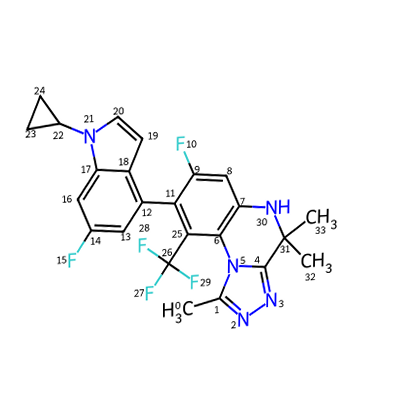 Cc1nnc2n1-c1c(cc(F)c(-c3cc(F)cc4c3ccn4C3CC3)c1C(F)(F)F)NC2(C)C